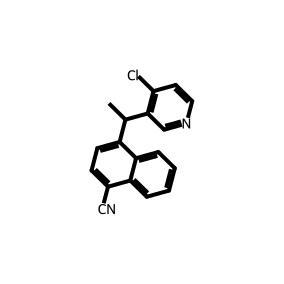 CC(c1cnccc1Cl)c1ccc(C#N)c2ccccc12